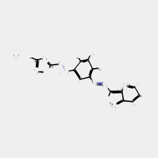 CSc1nsc(/N=N/c2cc(/N=N/c3snc4cccnc34)c(O)c(C)c2O)n1